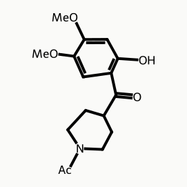 COc1cc(O)c(C(=O)C2CCN(C(C)=O)CC2)cc1OC